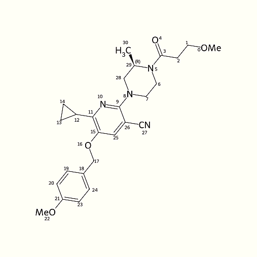 COCCC(=O)N1CCN(c2nc(C3CC3)c(OCc3ccc(OC)cc3)cc2C#N)C[C@H]1C